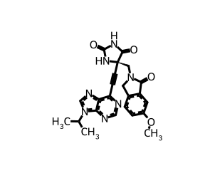 COc1ccc2c(c1)C(=O)N(C[C@@]1(C#Cc3ncnc4c3ncn4C(C)C)NC(=O)NC1=O)C2